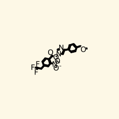 COCc1ccc(-c2cn(OC(=O)c3ccc(CC(F)(F)F)cc3[N+](=O)[O-])cn2)cc1